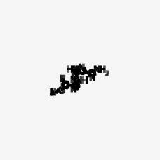 CN(C)CCOc1cc(F)cc(-c2nccc3[nH]c(-c4n[nH]c5ncc(-c6cncc(N)c6)cc45)nc23)c1